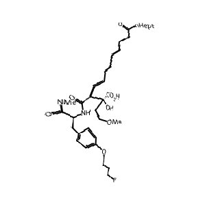 CCCCCCCC(=O)CCCCCC/C=C/[C@H](C(=O)N[C@@H](Cc1ccc(OCCCF)cc1)C(=O)NC)[C@@](O)(CCOC)C(=O)O